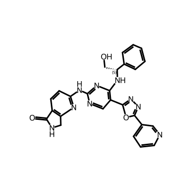 O=C1NCc2nc(Nc3ncc(-c4nnc(-c5cccnc5)o4)c(N[C@H](CO)c4ccccc4)n3)ccc21